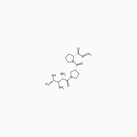 C=NC(=O)[C@H]1CCCN1C(=O)[C@@H]1CCN(C(=O)[C@@H](N)C([SiH3])[C@@H](C)O)C1